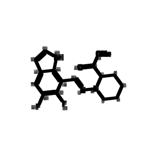 COC(=O)C1CCCCN1N=Cc1c(F)c(F)cc2cc[nH]c12